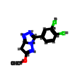 O=COC1=Nn2c(nnc2-c2ccc(Cl)c(Cl)c2)C1